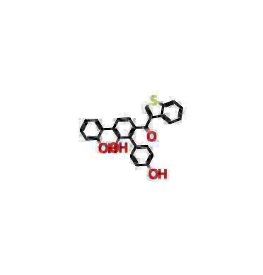 O=C(c1ccc(-c2ccccc2O)c(O)c1-c1ccc(O)cc1)c1csc2ccccc12